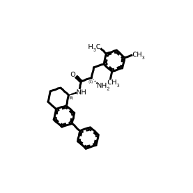 Cc1cc(C)c(C[C@H](N)C(=O)N[C@@H]2CCCc3ccc(-c4ccccc4)cc32)c(C)c1